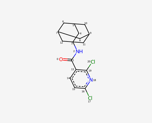 O=C(NC12CC3CC(CC(C3)C1)C2)c1ccc(Cl)nc1Cl